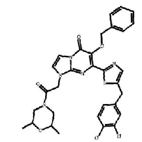 CC1CN(C(=O)Cn2ccn3c(=O)c(OCc4ccccc4)c(-c4ncc(Cc5ccc(Cl)c(Cl)c5)s4)nc23)CC(C)O1